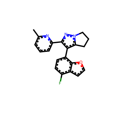 Cc1cccc(-c2nn3c(c2-c2ccc(F)c4ccoc24)CCC3)n1